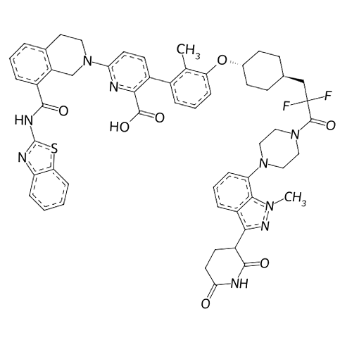 Cc1c(O[C@H]2CC[C@H](CC(F)(F)C(=O)N3CCN(c4cccc5c(C6CCC(=O)NC6=O)nn(C)c45)CC3)CC2)cccc1-c1ccc(N2CCc3cccc(C(=O)Nc4nc5ccccc5s4)c3C2)nc1C(=O)O